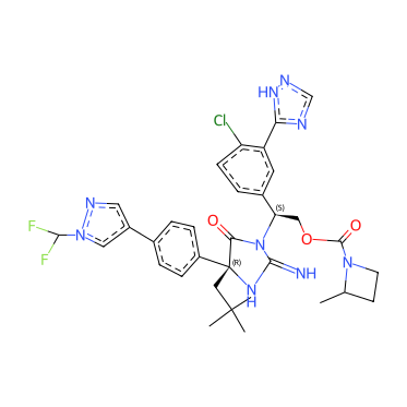 CC1CCN1C(=O)OC[C@H](c1ccc(Cl)c(-c2ncn[nH]2)c1)N1C(=N)N[C@](CC(C)(C)C)(c2ccc(-c3cnn(C(F)F)c3)cc2)C1=O